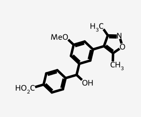 COc1cc(-c2c(C)noc2C)cc(C(O)c2ccc(C(=O)O)cc2)c1